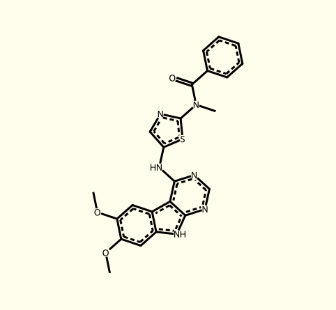 COc1cc2[nH]c3ncnc(Nc4cnc(N(C)C(=O)c5ccccc5)s4)c3c2cc1OC